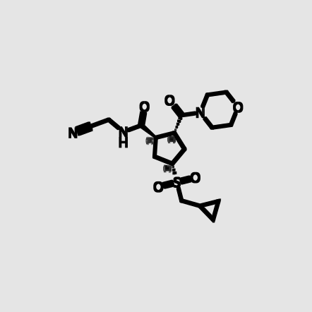 N#CCNC(=O)[C@@H]1C[C@@H](S(=O)(=O)CC2CC2)C[C@H]1C(=O)N1CCOCC1